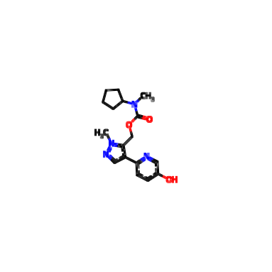 CN(C(=O)OCc1c(-c2ccc(O)cn2)cnn1C)C1CCCC1